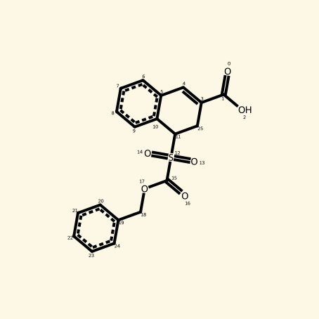 O=C(O)C1=Cc2ccccc2C(S(=O)(=O)C(=O)OCc2ccccc2)C1